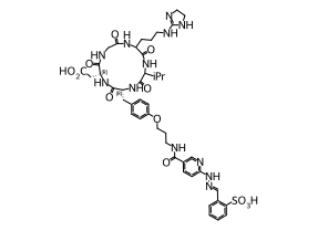 CC(C)C1NC(=O)C(CCCNC2=NCCN2)NC(=O)CNC(=O)[C@@H](CC(=O)O)NC(=O)[C@@H](Cc2ccc(OCCCNC(=O)c3ccc(NN=Cc4ccccc4S(=O)(=O)O)nc3)cc2)NC1=O